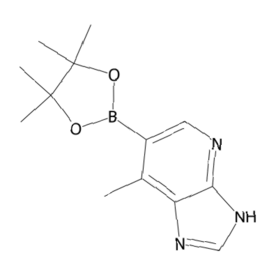 Cc1c(B2OC(C)(C)C(C)(C)O2)cnc2[nH]cnc12